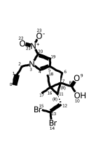 C#CCn1cc(C[C@@]2(C(=O)O)[C@H](C=C(Br)Br)C2(C)C)cc1[N+](=O)[O-]